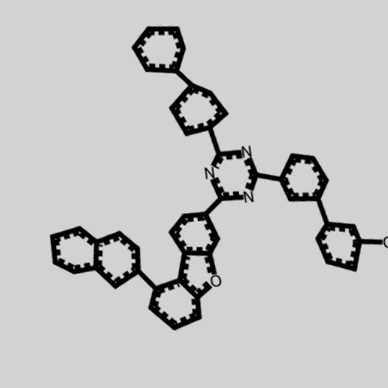 N#Cc1cccc(-c2cccc(-c3nc(-c4ccc(-c5ccccc5)cc4)nc(-c4ccc5c(c4)oc4cccc(-c6ccc7ccccc7c6)c45)n3)c2)c1